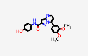 COc1ccc(-c2ccnc3cc(C(=O)Nc4ccc(O)cc4)nn23)cc1OC